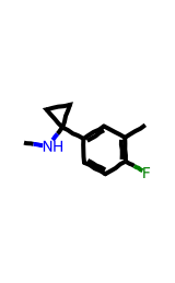 CNC1(c2ccc(F)c(C)c2)CC1